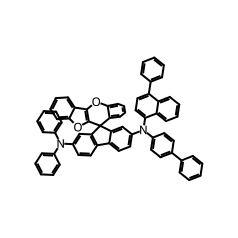 c1ccc(-c2ccc(N(c3ccc4c(c3)C3(c5ccccc5Oc5c3oc3ccccc53)c3cc(N(c5ccccc5)c5ccccc5)ccc3-4)c3ccc(-c4ccccc4)c4ccccc34)cc2)cc1